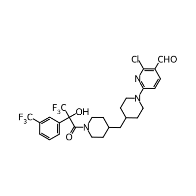 O=Cc1ccc(N2CCC(CC3CCN(C(=O)C(O)(c4cccc(C(F)(F)F)c4)C(F)(F)F)CC3)CC2)nc1Cl